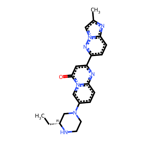 CC[C@@H]1CN(c2ccc3nc(-c4ccc5nc(C)cn5n4)cc(=O)n3c2)CCN1